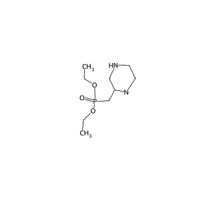 CCOP(=O)(CC1CNCC[N]1)OCC